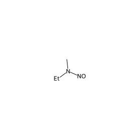 CCN(C)N=O